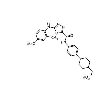 COc1ccc(Nc2nnc(C(=O)Nc3ccc(C4CCC(CC(=O)O)CC4)cc3)o2)c(C)c1